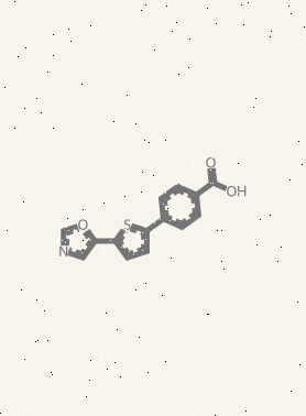 O=C(O)c1ccc(-c2ccc(-c3cnco3)s2)cc1